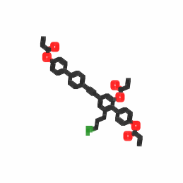 C=CC(=O)Oc1ccc(-c2ccc(C#Cc3cc(CCCF)c(-c4ccc(OC(=O)C=C)cc4)c(OC(=O)C=C)c3)cc2)cc1